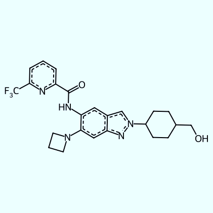 O=C(Nc1cc2cn(C3CCC(CO)CC3)nc2cc1N1CCC1)c1cccc(C(F)(F)F)n1